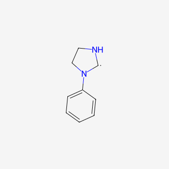 [CH]1NCCN1c1ccccc1